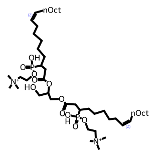 CCCCCCCC/C=C\CCCCCC(CC(=O)OCC(CO)OC(=O)CC(CCCCC/C=C\CCCCCCCC)P(=O)(O)OCC[N+](C)(C)C)P(=O)(O)OCC[N+](C)(C)C